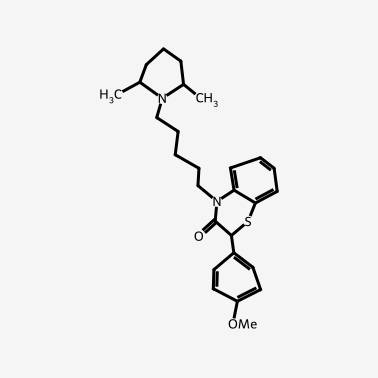 COc1ccc(C2Sc3ccccc3N(CCCCCN3C(C)CCCC3C)C2=O)cc1